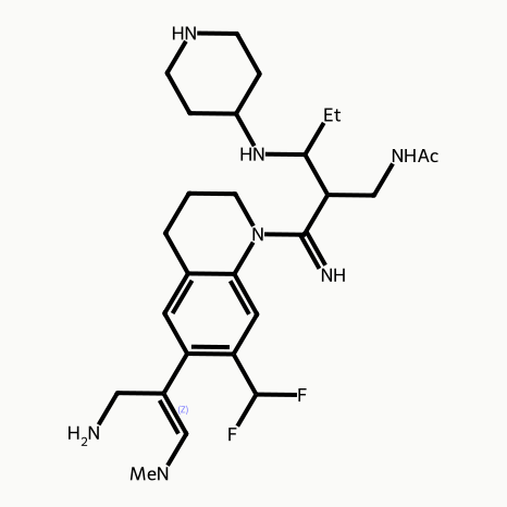 CCC(NC1CCNCC1)C(CNC(C)=O)C(=N)N1CCCc2cc(/C(=C/NC)CN)c(C(F)F)cc21